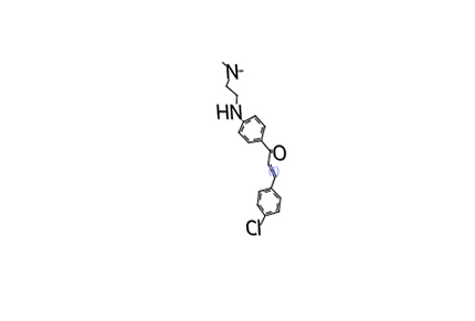 CN(C)CCNc1ccc(C(=O)/C=C/c2ccc(Cl)cc2)cc1